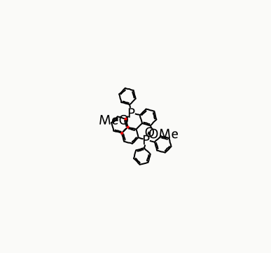 COc1cccc(P(c2ccccc2)c2ccccc2)c1-c1c(OC)cccc1P(=O)(c1ccccc1)c1ccccc1